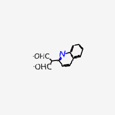 O=[C]C([C]=O)c1ccc2ccccc2n1